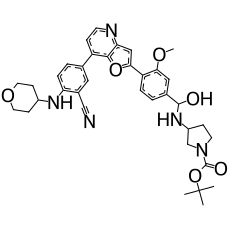 COc1cc(C(O)NC2CCN(C(=O)OC(C)(C)C)C2)ccc1-c1cc2nccc(-c3ccc(NC4CCOCC4)c(C#N)c3)c2o1